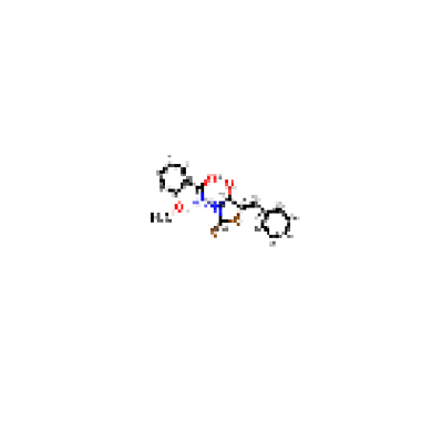 COc1ccccc1C(=O)NN1C(=O)C(=Cc2ccccc2)SC1=S